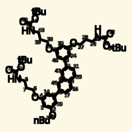 CCCCOc1cc(OCCCNC(=O)OC(C)(C)C)cc(-c2ccc3ccc(-c4cc(OCCCNC(=O)OC(C)(C)C)cc(OCCCNC(=O)OC(C)(C)C)c4)cc3c2)c1